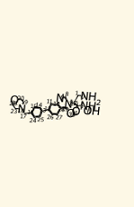 NC[C@@H](C(=O)NO)n1cnc2cc(-c3ccc(CN4CCOCC4)cc3)ccc2c1=O